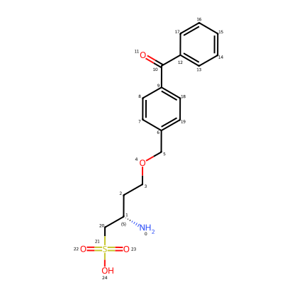 N[C@@H](CCOCc1ccc(C(=O)c2ccccc2)cc1)CS(=O)(=O)O